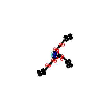 CC1=C(C(=O)OCCCCOC(=O)CCCc2ccc3c4cccc5cccc(c6cccc2c63)c54)C(C)=[N+]2C1=C(c1c(C)cc(OC(=O)CCCc3ccc4c5cccc6cccc(c7cccc3c74)c65)cc1C)c1c(C)c(C(=O)OCCCCOC(=O)CCCc3ccc4c5cccc6cccc(c7cccc3c74)c65)c(C)n1[B-]2(F)F